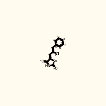 O=C1NC(=O)/C(=C/C(Cl)=C/c2ccccc2)S1